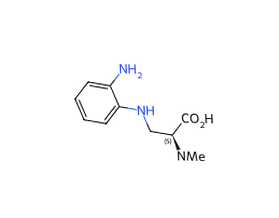 CN[C@@H](CNc1ccccc1N)C(=O)O